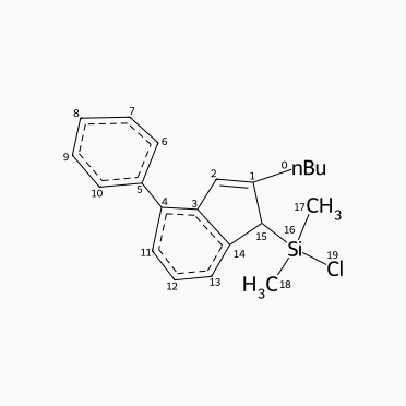 CCCCC1=Cc2c(-c3ccccc3)cccc2C1[Si](C)(C)Cl